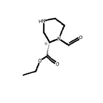 CCOC(=O)[C@@H]1CNCCN1[C]=O